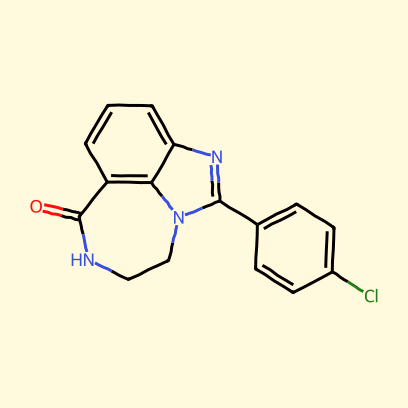 O=C1NCCn2c(-c3ccc(Cl)cc3)nc3cccc1c32